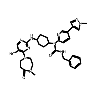 CN1CCN(c2nc(NC3CCC(N(C(=O)NCc4ccccc4)c4ccc(-c5cnn(C)c5)cn4)CC3)ncc2C#N)CCC1=O